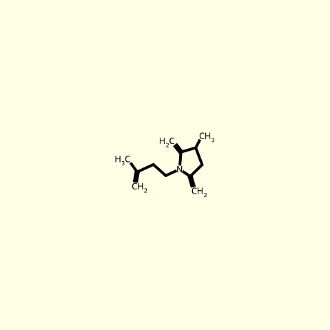 C=C(C)CCN1C(=C)CC(C)C1=C